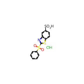 Cl.O=S(=O)(O)c1ccc2sc(S(=O)(=O)c3ccccc3)nc2c1